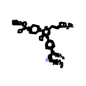 CCOC(=O)CCc1cn(-c2ccc(N(N)/C=C\N)cc2)c(=O)c(N2CCN(C(=O)OC(C)(C)C)CC2)n1